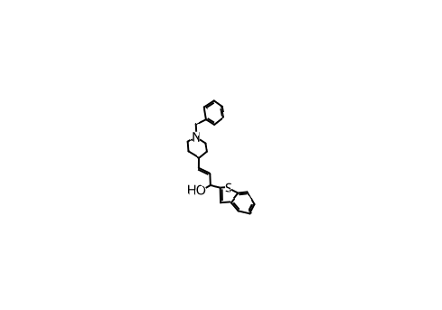 OC(C=CC1CCN(Cc2ccccc2)CC1)c1cc2ccccc2s1